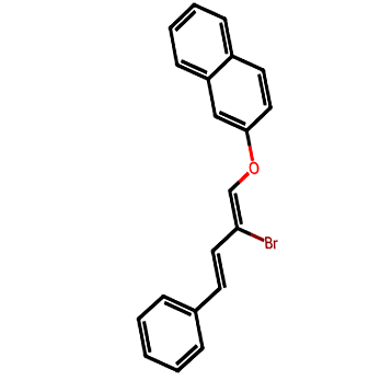 BrC(C=Cc1ccccc1)=COc1ccc2ccccc2c1